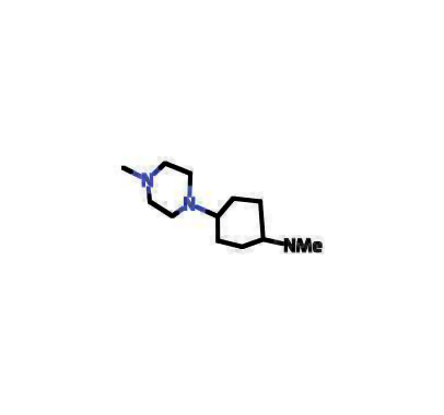 CNC1CCC(N2CCN(C)CC2)CC1